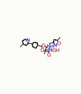 Cc1ccnc(-c2ccc(COC(C)(C(=O)NO)C(=O)NCc3cc(C)on3)cc2)c1